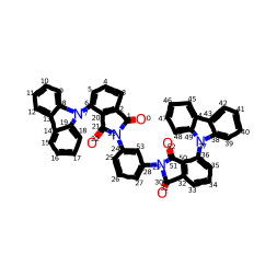 O=C1c2cccc(-n3c4ccccc4c4ccccc43)c2C(=O)N1c1cccc(N2C(=O)c3cccc(-n4c5ccccc5c5ccccc54)c3C2=O)c1